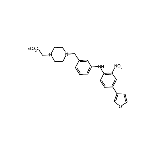 CCOC(=O)CN1CCN(Cc2cccc(Nc3ccc(-c4ccoc4)cc3[N+](=O)[O-])c2)CC1